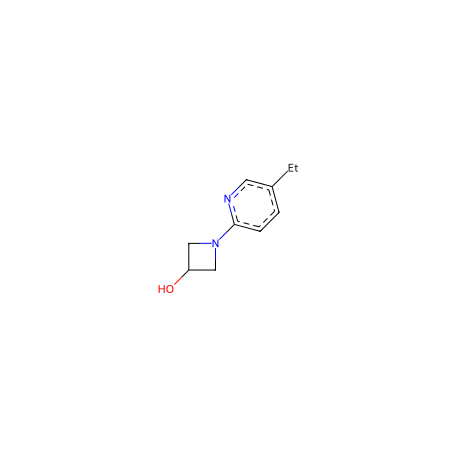 CCc1ccc(N2CC(O)C2)nc1